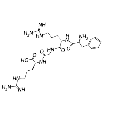 N=C(N)NCCC[C@H](NC(=O)CNC(=O)[C@H](CCCNC(=N)N)NC(=O)[C@@H](N)Cc1ccccc1)C(=O)O